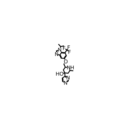 CC1CC(O)(c2ccncn2)CC(COc2cc(C(F)(F)F)c3c(c2)ncn3C(C)C)N1